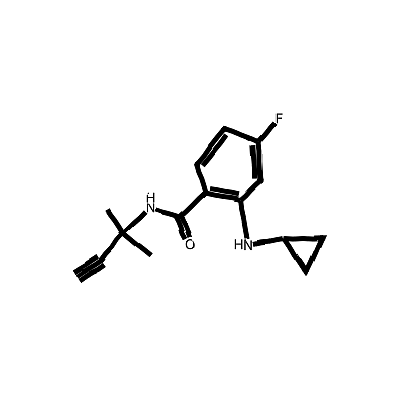 C#CC(C)(C)NC(=O)c1ccc(F)cc1NC1CC1